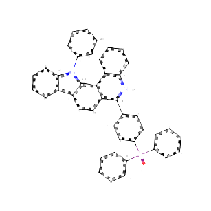 O=P(c1ccccc1)(c1ccccc1)c1ccc(-c2nc3ccccc3c3c2ccc2c4ccccc4n(-c4ccccc4)c23)cc1